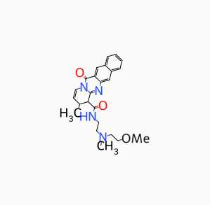 COCCN(C)CCNC(=O)C1c2nc3cc4ccccc4cc3c(=O)n2C=CC1C